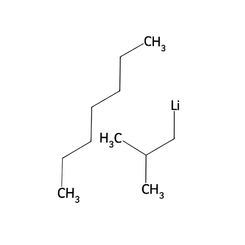 CCCCCCC.[Li][CH2]C(C)C